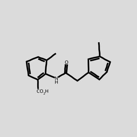 Cc1cccc(CC(=O)Nc2c(C)cccc2C(=O)O)c1